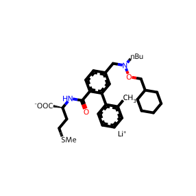 CCCCN(Cc1ccc(C(=O)N[C@@H](CCSC)C(=O)[O-])c(-c2ccccc2C)c1)OCC1CCCCC1.[Li+]